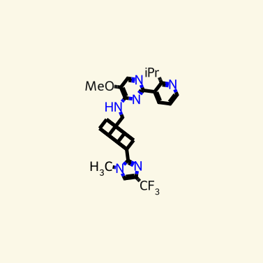 COc1cnc(-c2cccnc2C(C)C)nc1NCC12C3C4C1C1C2C3C41c1nc(C(F)(F)F)cn1C